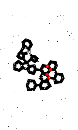 c1ccc(-c2cccc(N(c3cccc(-c4ccc5c(c4)C4(c6ccccc6-5)c5ccccc5-n5c6ccccc6c6cccc4c65)c3)c3ccccc3-c3ccccc3-c3ccccc3)c2)cc1